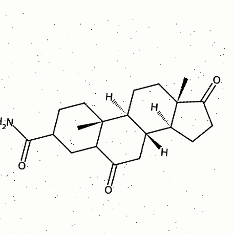 C[C@]12CCC(C(N)=O)CC1C(=O)C[C@@H]1[C@@H]2CC[C@]2(C)C(=O)CC[C@@H]12